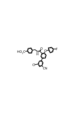 N#Cc1cc(Cl)cc(-c2ccc(Oc3ccc(F)cc3)c(C(=O)NCc3ccc(C(=O)O)cc3)c2)c1